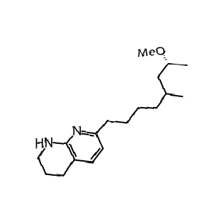 CO[C@H](C)CC(C)CCCCc1ccc2c(n1)NCCC2